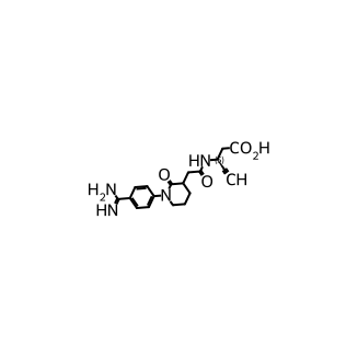 C#C[C@H](CC(=O)O)NC(=O)CC1CCCN(c2ccc(C(=N)N)cc2)C1=O